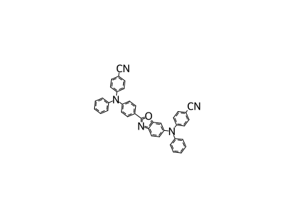 N#Cc1ccc(N(c2ccccc2)c2ccc(-c3nc4ccc(N(c5ccccc5)c5ccc(C#N)cc5)cc4o3)cc2)cc1